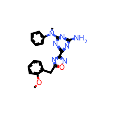 COc1ccccc1Cc1nc(-c2nc(N)nc(N(C)c3ccccc3)n2)no1